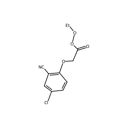 CCOOC(=O)COc1ccc(Cl)cc1C#N